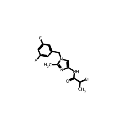 Cc1nc(NC(=O)C(C)Br)cn1Cc1cc(F)cc(F)c1